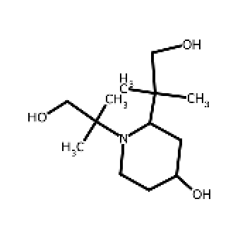 CC(C)(CO)C1CC(O)CCN1C(C)(C)CO